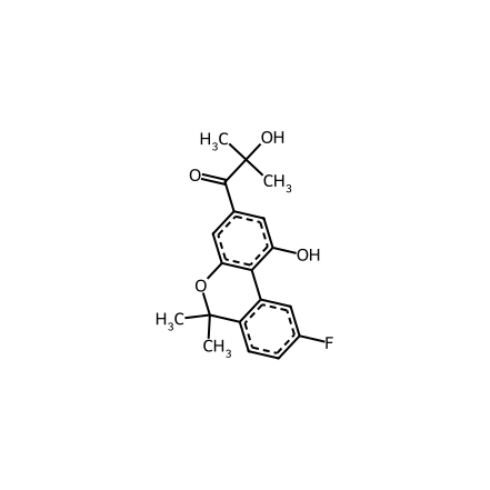 CC(C)(O)C(=O)c1cc(O)c2c(c1)OC(C)(C)c1ccc(F)cc1-2